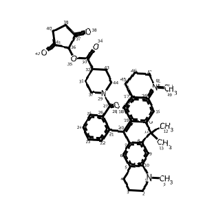 CN1CCCc2cc3c(cc21)C(C)(C)c1cc2c(cc1=C3c1ccccc1C(=O)N1CCC(C(=O)OC3C(=O)CCC3=O)CC1)CCC[N+]=2C